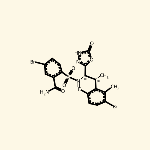 Cc1c(Br)ccc(F)c1[C@@H](C)[C@H](NS(=O)(=O)c1ccc(Br)cc1C(N)=O)c1n[nH]c(=O)o1